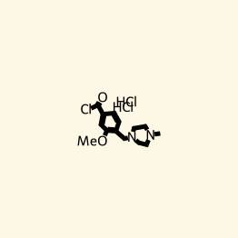 COc1cc(C(=O)Cl)ccc1CN1CCN(C)CC1.Cl.Cl